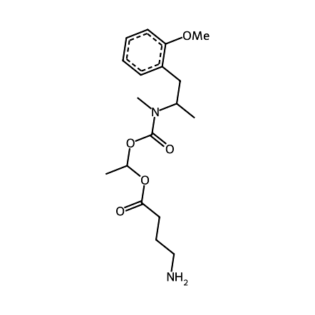 COc1ccccc1CC(C)N(C)C(=O)OC(C)OC(=O)CCCN